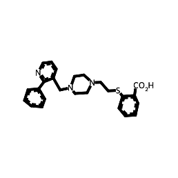 O=C(O)c1ccccc1SCCN1CCN(Cc2cccnc2-c2ccccc2)CC1